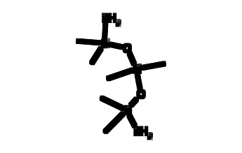 B[Si](C)(C)O[Si](C)(C)O[Si](B)(C)C